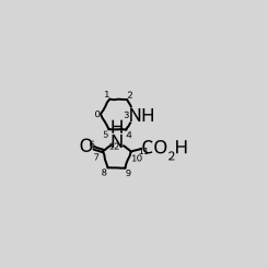 C1CCNCC1.O=C1CCC(C(=O)O)N1